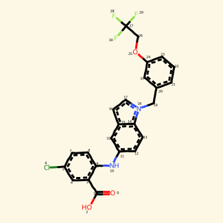 O=C(O)c1cc(Cl)ccc1Nc1ccc2c(ccn2Cc2cccc(OCC(F)(F)F)c2)c1